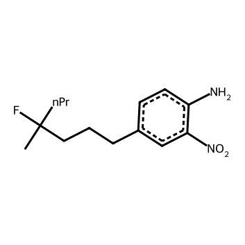 CCCC(C)(F)CCCc1ccc(N)c([N+](=O)[O-])c1